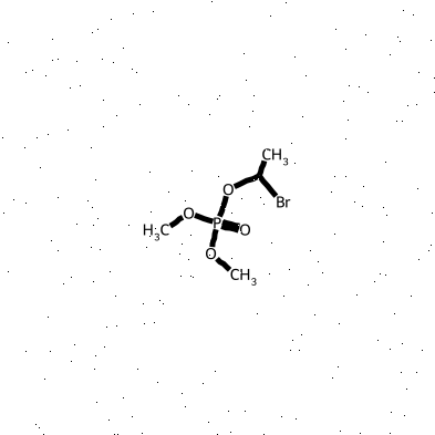 COP(=O)(OC)OC(C)Br